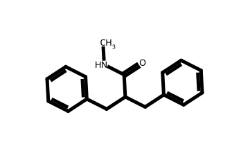 CNC(=O)C(Cc1ccccc1)Cc1ccccc1